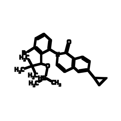 C[SiH](C)OC(c1c(Br)cccc1-n1ccc2cc(C3CC3)ccc2c1=O)C(C)(C)C